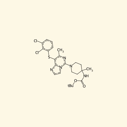 Cc1nc(N2CCC(C)(NC(=O)OC(C)(C)C)CC2)n2ccnc2c1Sc1cccc(Cl)c1Cl